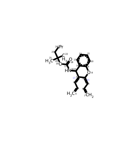 C=C/C=C1\C(=C/C=C)Oc2ccccc2C1NC(=O)OC(C)(C)CC(C)C